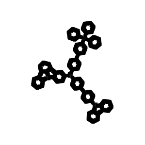 c1ccc([Si](c2ccccc2)(c2ccccc2)c2ccc(-c3ccc(N(c4ccc(-c5ccc(-n6c7ccccc7c7ccccc76)cc5)cc4)c4ccc5c(c4)c4cccc6c7ccccc7n5c64)cc3)cc2)cc1